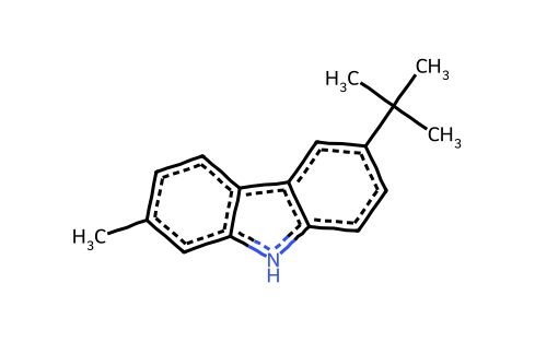 Cc1ccc2c(c1)[nH]c1ccc(C(C)(C)C)cc12